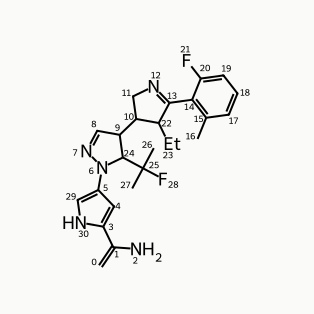 C=C(N)c1cc(N2N=CC(C3CN=C(c4c(C)cccc4F)C3CC)C2C(C)(C)F)c[nH]1